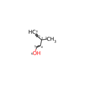 C#CC(C)C=CO